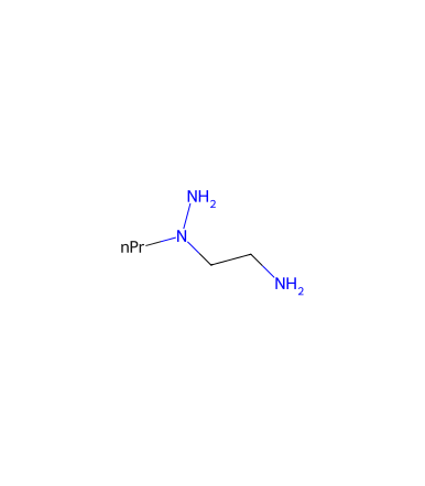 CCCN(N)CCN